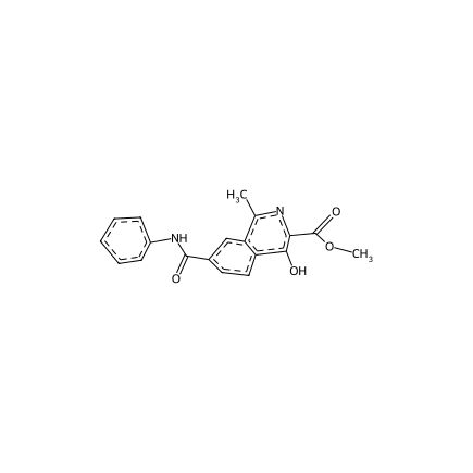 COC(=O)c1nc(C)c2cc(C(=O)Nc3ccccc3)ccc2c1O